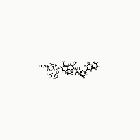 CO[C@@H]1[C@@H](OC(N)=O)[C@@H](O)[C@H](Oc2ccc3c(O)c(NC(=O)c4cccc(-c5ccc6ccccc6c5)c4)c(=O)oc3c2C)OC1(C)C